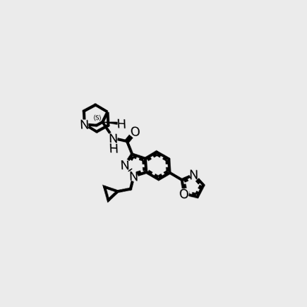 O=C(N[C@@H]1CN2CCC1CC2)c1nn(CC2CC2)c2cc(-c3ncco3)ccc12